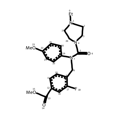 CCN1CCN(C(=O)N(Cc2ccc(C(=O)OC)cc2F)c2ccc(OC)cc2)CC1